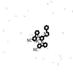 N#Cc1ccc2c(c1)c1ccccc1n2-c1cc(-c2cccc(-c3ccccc3)n2)cc(-n2c3ccccc3c3cc(C#N)ccc32)c1C#N